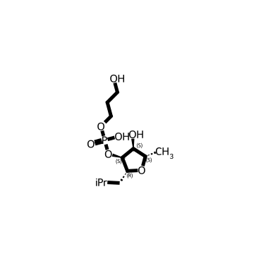 CC(C)C[C@H]1O[C@@H](C)[C@H](O)[C@@H]1OP(=O)(O)OCCCO